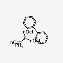 CCCCCCCCP(CCCCCCCC)CCCCCCCC.P.c1ccc(-c2ccccc2)cc1